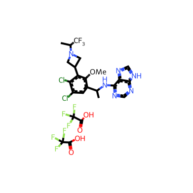 COc1c(C(C)Nc2ncnc3[nH]cnc23)cc(Cl)c(Cl)c1C1CN(C(C)C(F)(F)F)C1.O=C(O)C(F)(F)F.O=C(O)C(F)(F)F